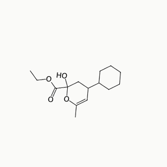 CCOC(=O)C1(O)CC(C2CCCCC2)C=C(C)O1